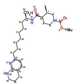 C[C@H]1CN(C(=O)OC(C)(C)C)CC[C@H]1C(=O)N[C@@H](CCCCCCCc1ccc2c(n1)NCCC2)C(=O)O